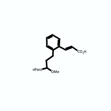 CCCCCC(CCc1ccccc1C=CC(=O)O)OC